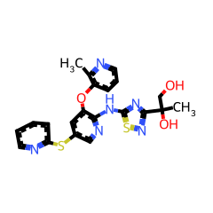 Cc1ncccc1Oc1cc(Sc2ccccn2)cnc1Nc1nc(C(C)(O)CO)ns1